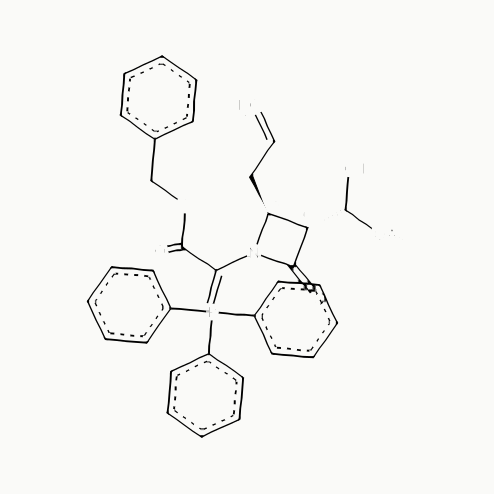 C=CC[C@H]1[C@H](C(C)OC(C)=O)C(=O)N1C(C(=O)OCc1ccccc1)=P(c1ccccc1)(c1ccccc1)c1ccccc1